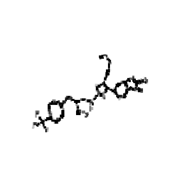 NC(CNc1nc(C#CCO)c(-c2ccc3[nH]c(=O)oc3c2)s1)Cc1ccc(C(F)(F)F)cc1